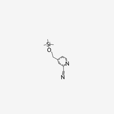 C[Si](C)(C)OCCc1ccnc(C#N)c1